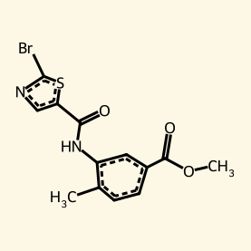 COC(=O)c1ccc(C)c(NC(=O)c2cnc(Br)s2)c1